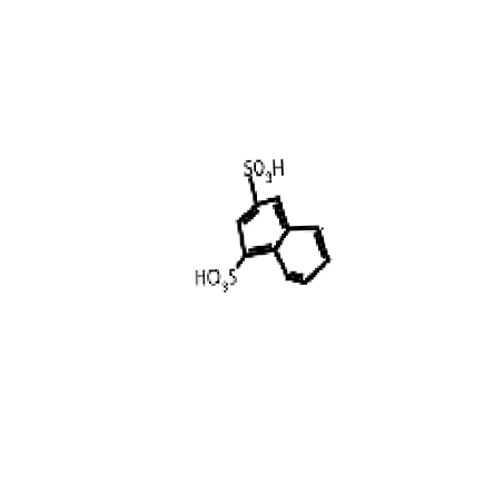 O=S(=O)(O)c1cc(S(=O)(=O)O)c2ccc[c]c2c1